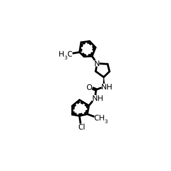 Cc1cccc(N2CC[C@@H](NC(=O)Nc3cccc(Cl)c3C)C2)c1